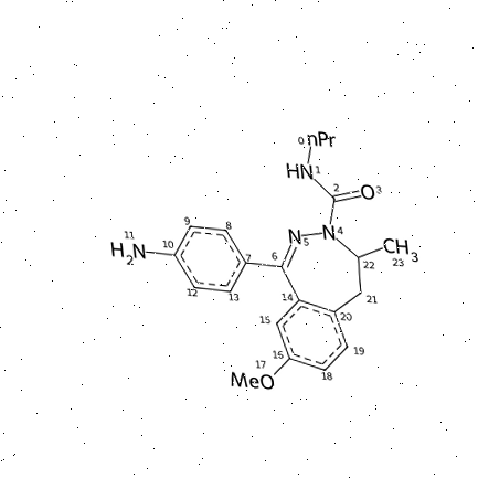 CCCNC(=O)N1N=C(c2ccc(N)cc2)c2cc(OC)ccc2CC1C